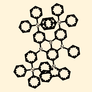 c1ccc(N2c3ccc([Si](c4ccccc4)(c4ccccc4)c4ccccc4)cc3B3c4cc([Si](c5ccccc5)(c5ccccc5)c5ccccc5)ccc4N(c4cccc([Si](c5ccccc5)(c5ccccc5)c5ccccc5)c4)c4cc(-n5c6ccccc6c6ccccc65)cc2c43)cc1